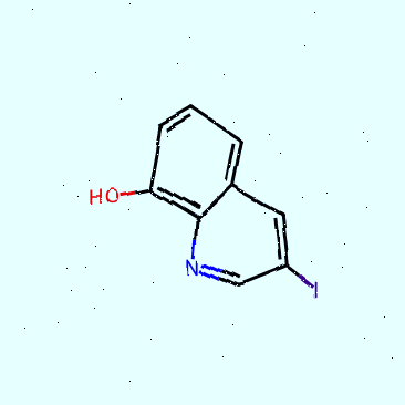 Oc1cccc2cc(I)cnc12